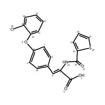 O=C(O)/C(=C/c1ccc(Oc2ccccc2Cl)cc1)NC(=O)c1cccs1